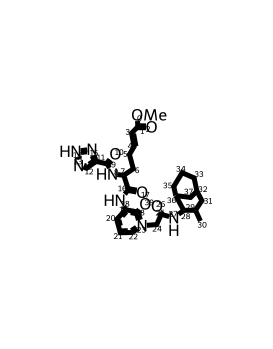 COC(=O)/C=C/CCC(NC(=O)c1cn[nH]n1)C(=O)Nc1cccn(CC(=O)NC2C(C)CC3CCCC2C3)c1=O